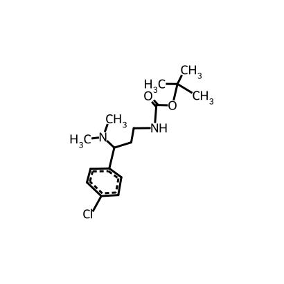 CN(C)C(CCNC(=O)OC(C)(C)C)c1ccc(Cl)cc1